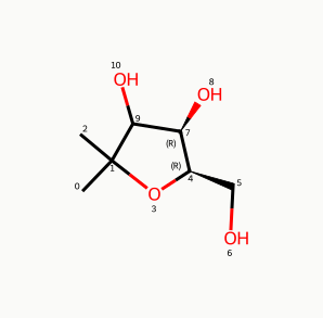 CC1(C)O[C@H](CO)[C@H](O)C1O